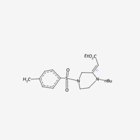 CCCCN1CCN(S(=O)(=O)c2ccc(C)cc2)C/C1=C\C(=O)OCC